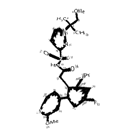 COCC(C)(C)n1ccc(S(=O)(=O)NC(=O)Cc2c(-c3ccnc(OC)c3)cc(F)cc2C(C)C)n1